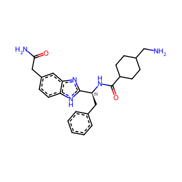 NCC1CCC(C(=O)N[C@@H](Cc2ccccc2)c2nc3cc(CC(N)=O)ccc3[nH]2)CC1